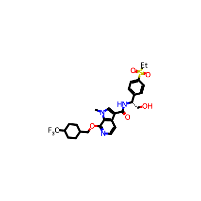 CCS(=O)(=O)c1ccc([C@H](CO)NC(=O)c2cn(C)c3c(OCC4CCC(C(F)(F)F)CC4)nccc23)cc1